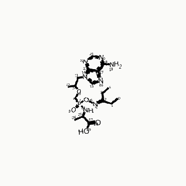 CCC(CC)=NOP(=O)(COC(C)Cn1cnc2c(N)ncnc21)NC(C)C(=O)O